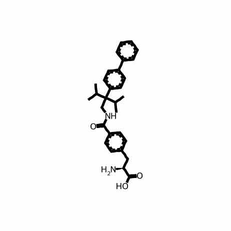 CC(C)C(CNC(=O)c1ccc(C[C@H](N)C(=O)O)cc1)(c1ccc(-c2ccccc2)cc1)C(C)C